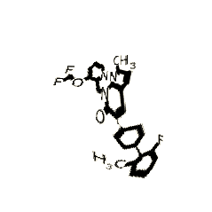 Cc1ccc2cc([C@H]3CC[C@H](c4c(C)cccc4F)CC3)c(=O)n(Cc3ncccc3OC(F)F)c2n1